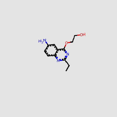 CCc1nc(OCCO)c2cc(N)ccc2n1